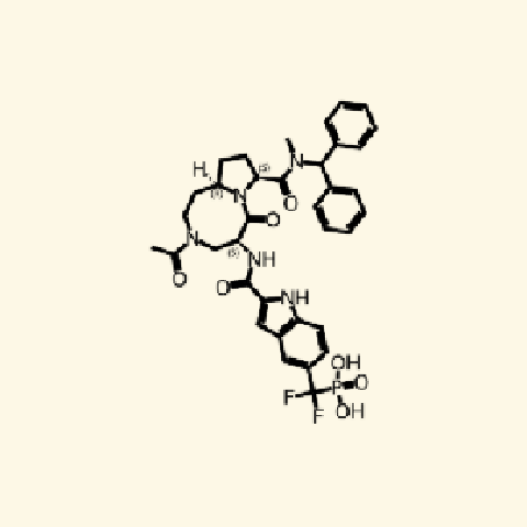 CC(=O)N1CC[C@H]2CC[C@@H](C(=O)N(C)C(c3ccccc3)c3ccccc3)N2C(=O)[C@@H](NC(=O)c2cc3cc(C(F)(F)P(=O)(O)O)ccc3[nH]2)C1